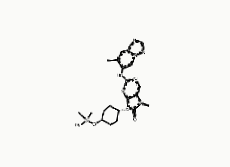 Cc1cc2ncnn2cc1Nc1ncc2c(n1)n([C@H]1CC[C@H](O[Si](C)(C)C(C)(C)C)CC1)c(=O)n2C